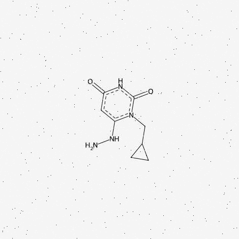 NNc1cc(=O)[nH]c(=O)n1CC1CC1